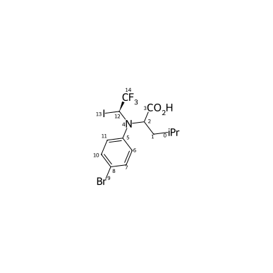 CC(C)CC(C(=O)O)N(c1ccc(Br)cc1)[C@@H](I)C(F)(F)F